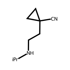 CC(C)NCCC1(C#N)CC1